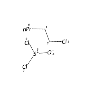 CCCCCCl.[O-][S+](Cl)Cl